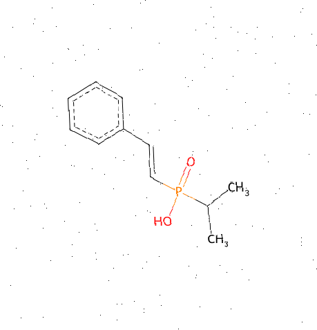 CC(C)P(=O)(O)C=Cc1ccccc1